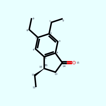 CCc1cc2c(cc1CC)[C@H](CC)CC2=O